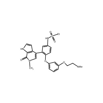 CCS(=O)(=O)Nc1ccc(Oc2cccc(OCCNC)c2)c(-c2cn(C)c(=O)c3[nH]ccc23)c1